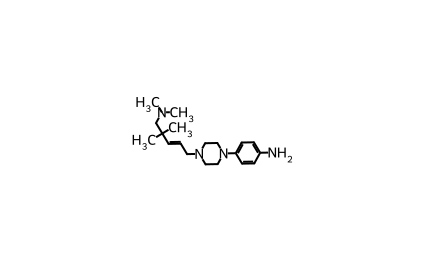 CN(C)CC(C)(C)/C=C/CN1CCN(c2ccc(N)cc2)CC1